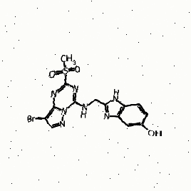 CS(=O)(=O)c1nc(NCc2nc3cc(O)ccc3[nH]2)n2ncc(Br)c2n1